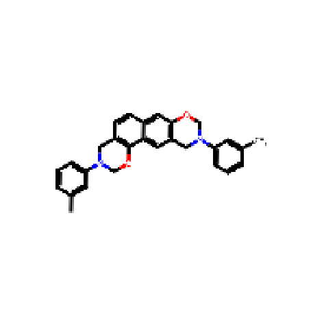 Cc1cccc(N2COc3c(ccc4cc5c(cc34)CN(c3cccc(C(F)(F)F)c3)CO5)C2)c1